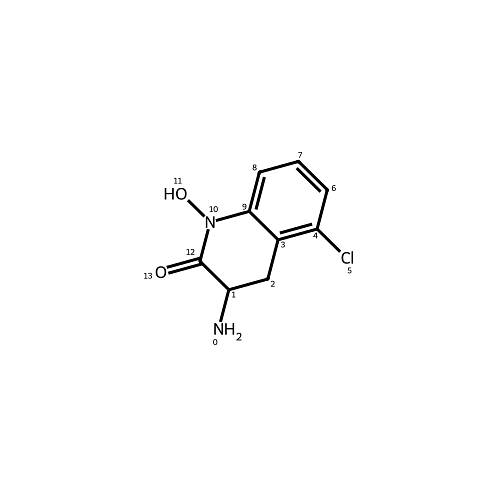 NC1Cc2c(Cl)cccc2N(O)C1=O